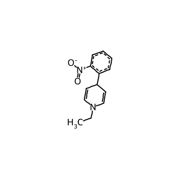 CCN1C=CC(c2ccccc2[N+](=O)[O-])C=C1